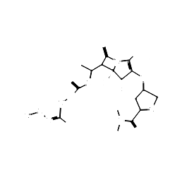 CC(NC(=O)CN/C(=N\NN)C(C)(C)C)C1C(=O)N2C(C(=O)O)=C(SC3CNC(C(=O)N(C)C)C3)[C@H](C)[C@H]12